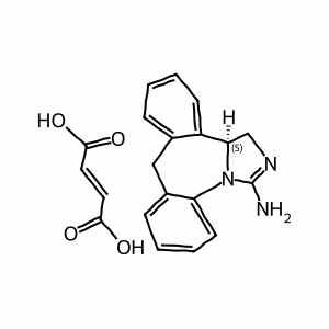 NC1=NC[C@@H]2c3ccccc3Cc3ccccc3N12.O=C(O)C=CC(=O)O